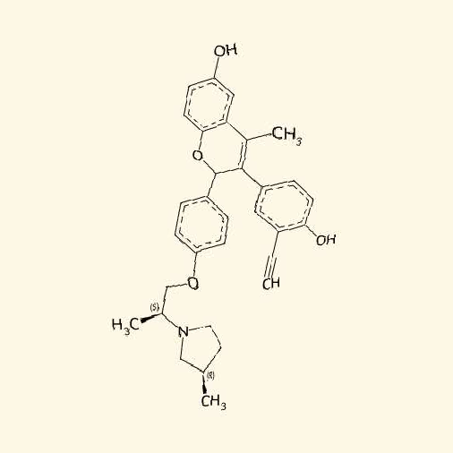 C#Cc1cc(C2=C(C)c3cc(O)ccc3OC2c2ccc(OC[C@H](C)N3CC[C@@H](C)C3)cc2)ccc1O